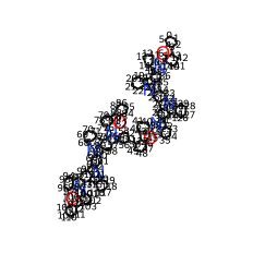 c1ccc2c(c1)oc1c(-n3c4ccccc4c4c5c6ccccc6n6c7cc8c9cc%10c(c%11ccccc%11n%10-c%10cccc%11c%10oc%10cccc(-c%12ccc%13c(c%12)c%12cc%14c%15cc%16c(cc%15n%15c%17ccccc%17c(c%12n%13-c%12cccc%13c%12oc%12ccccc%12%13)c%14%15)c%12cc%13c%14ccccc%14n(-c%14cccc%15c%14oc%14ccccc%14%15)c%13c%13c%14ccccc%14n%16c%12%13)c%10%11)c%10c%11ccccc%11n(c8cc7c(cc43)c56)c9%10)cccc12